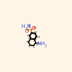 NC1CCCc2cc(S(N)(=O)=O)ccc21